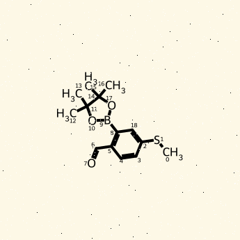 CSc1ccc(C=O)c(B2OC(C)(C)C(C)(C)O2)c1